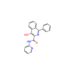 O=C(Nc1ccccn1)c1nc(-c2ccccc2)c2ccccc2c1O